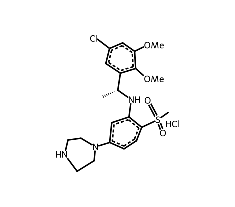 COc1cc(Cl)cc([C@@H](C)Nc2cc(N3CCNCC3)ccc2S(C)(=O)=O)c1OC.Cl